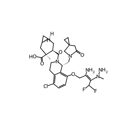 CN(N)/C(=C(\N)COc1ccc(Cl)c2c1[C@@H](CN1CC3(CC3)CC1=O)N(C(=O)[C@@H]1C[C@@H]3C[C@@H]3C[C@]1(C)C(=O)O)CC2)C(F)F